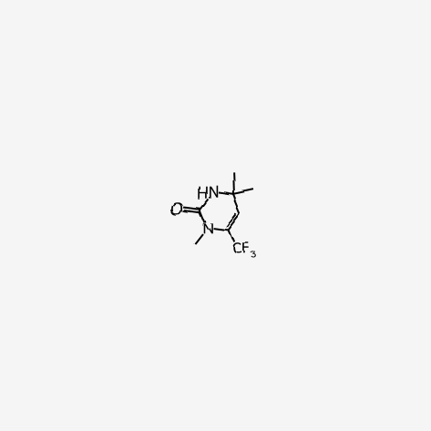 CN1C(=O)NC(C)(C)C=C1C(F)(F)F